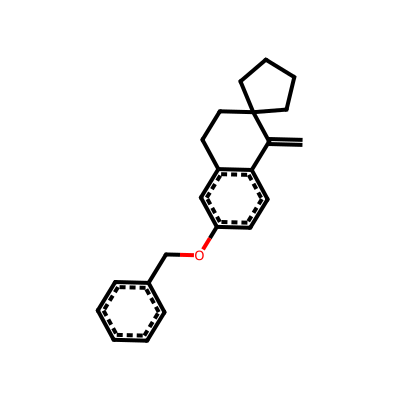 C=C1c2ccc(OCc3ccccc3)cc2CCC12CCCC2